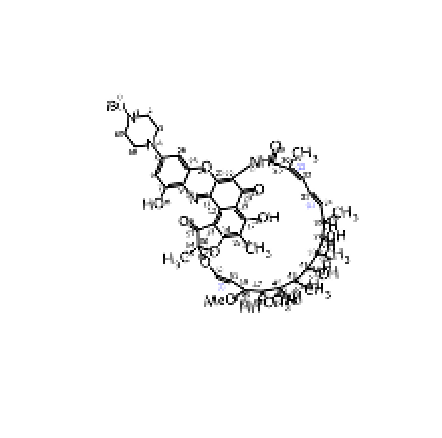 CCC(C)N1CCN(c2cc(O)c3nc4c5c6c7c(C)c(O)c5c(=O)c(c-4oc3c2)NC(=O)/C(C)=C\C=C\[C@H](C)[C@H](O)[C@@H](C)[C@@H](O)[C@@H](C)[C@H](OC(C)=O)[C@H](C)[C@@H](OC)/C=C/O[C@@](C)(O7)C6=O)CC1